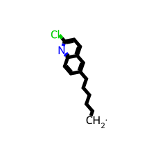 [CH2]CCCCCc1ccc2nc(Cl)ccc2c1